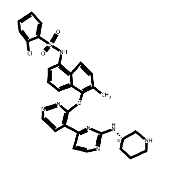 Cc1ccc2c(NS(=O)(=O)c3ccccc3Cl)cccc2c1Oc1nnccc1-c1ccnc(N[C@H]2CCCNC2)n1